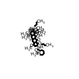 CCCCOc1noc2c1C(=O)[C@@]1(O[Si](C)(C)C(C)(C)C)C(O)=C3C(=O)c4c(c(OC)cc(NC(=O)C5CCCCCN5C)c4OCCCC)C[C@H]3C[C@H]1[C@@H]2N(C)C